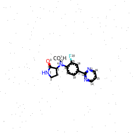 O=C1NCCC1N(C(=O)O)c1ccc(-c2ncccn2)cc1F